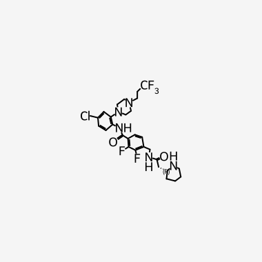 O=C(C[C@H]1CCCCN1)NCc1ccc(C(=O)Nc2ccc(Cl)cc2N2CCN(CCC(F)(F)F)CC2)c(F)c1F